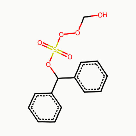 O=S(=O)(OOCO)OC(c1ccccc1)c1ccccc1